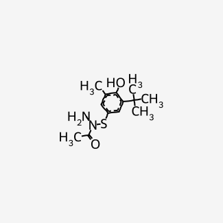 CC(=O)N(N)Sc1cc(C)c(O)c(C(C)(C)C)c1